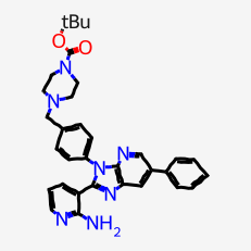 CC(C)(C)OC(=O)N1CCN(Cc2ccc(-n3c(-c4cccnc4N)nc4cc(-c5ccccc5)cnc43)cc2)CC1